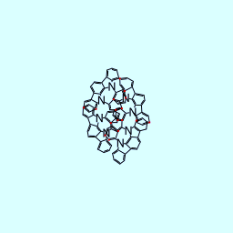 C1=Cc2c(c3ccc4c5ccccc5n(-c5ccccc5)c4c3n2-c2cc(-c3cc(-n4c5ccccc5c5ccc6c7ccccc7n(-c7ccccc7)c6c54)cc(-n4c5ccccc5c5ccc6c7ccccc7n(-c7ccccc7)c6c54)c3)cc(-n3c4ccccc4c4ccc5c6ccccc6n(-c6ccccc6)c5c43)c2)CC1